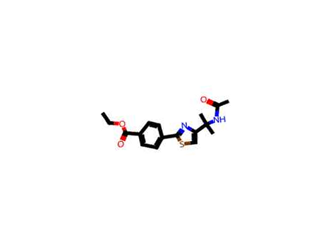 CCOC(=O)c1ccc(-c2nc(C(C)(C)NC(C)=O)cs2)cc1